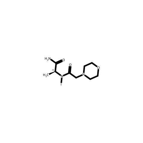 C[C@@H](C(N)=O)N(I)C(=O)CN1CCOCC1